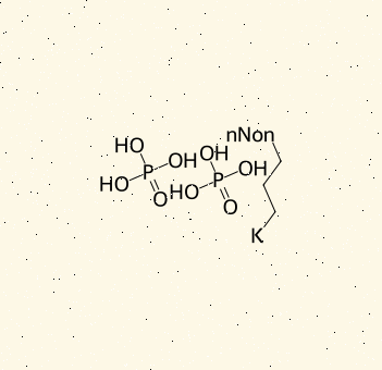 CCCCCCCCCCC[CH2][K].O=P(O)(O)O.O=P(O)(O)O